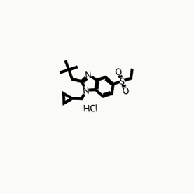 CCS(=O)(=O)c1ccc2c(c1)nc(CC(C)(C)C)n2CC1CC1.Cl